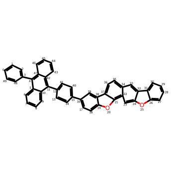 c1ccc(-c2c3ccccc3c(-c3ccc(-c4ccc5oc6c7cc8oc9ccccc9c8cc7ccc6c5c4)cc3)c3ccccc23)cc1